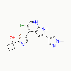 Cn1cc(-c2cc3c(-c4cnc(C5(O)CCC5)s4)c(F)cnc3[nH]2)cn1